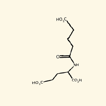 O=C(O)CCCC(=O)NC(CCC(=O)O)C(=O)O